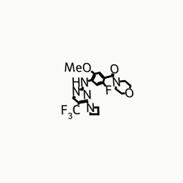 COc1cc(C(=O)N2CCOCC2)c(F)cc1Nc1ncc(C(F)(F)F)c(N2CCC2)n1